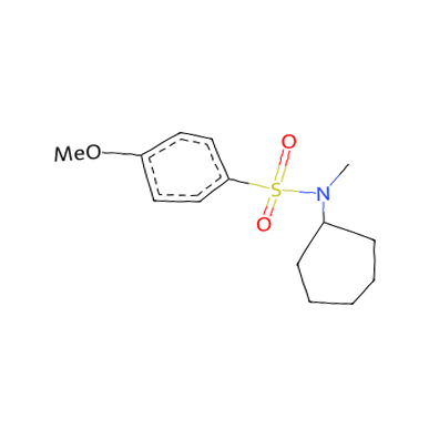 COc1ccc(S(=O)(=O)N(C)C2CCCCC2)cc1